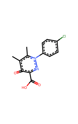 Cc1c(C)n(-c2ccc(Cl)cc2)nc(C(=O)O)c1=O